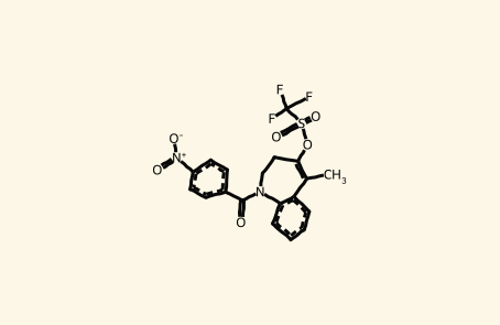 CC1=C(OS(=O)(=O)C(F)(F)F)CCN(C(=O)c2ccc([N+](=O)[O-])cc2)c2ccccc21